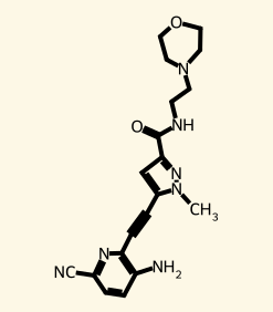 Cn1nc(C(=O)NCCN2CCOCC2)cc1C#Cc1nc(C#N)ccc1N